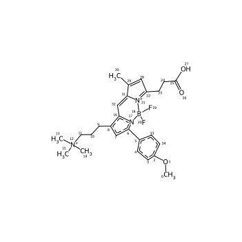 COc1ccc(-c2cc(CCC[N+](C)(C)C)c3n2[B-](F)(F)[N+]2=C(CCC(=O)O)C=C(C)C2=C3)cc1